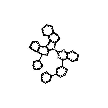 c1ccc(-c2cccc(-c3nc(-n4c5ccc6ccccc6c5c5c6ccccc6c(-c6ccccc6)cc54)nc4ccccc34)c2)cc1